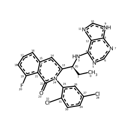 CC[C@H](Nc1ncnc2[nH]cnc12)c1cc2cccc(F)c2c(=O)n1-c1cc(Cl)ccc1Cl